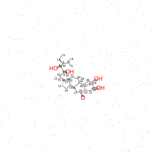 CC[C@@H](C(C)C)[C@H](O)[C@@H](O)[C@@H](C)[C@H]1CCC2C3CC(=O)C4C[C@H](O)[C@H](O)C[C@]4(C)C3CC[C@@]21C